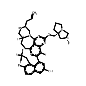 C=CCC1CN2c3nc(OC[C@@]45CCCN4C[C@H](F)C5)nc4c(F)c(-c5cc(O)cc6ccc(F)c(CC(F)(F)F)c56)nc(c34)CC[C@@H]2CN1